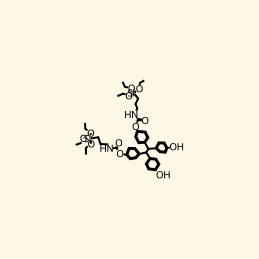 CCO[Si](CCCNC(=O)Oc1ccc(C(c2ccc(O)cc2)C(c2ccc(O)cc2)c2ccc(OC(=O)NCCC[Si](OCC)(OCC)OCC)cc2)cc1)(OCC)OCC